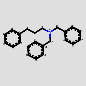 [CH](CCc1ccccc1)N(Cc1ccccc1)Cc1ccccc1